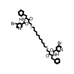 O=C(NC(Cc1ccccc1)C(=O)CCSCCCCCCCCCCSCCC(=O)C(Cc1ccccc1)NC(=O)c1cncc(Br)c1)c1cncc(Br)c1